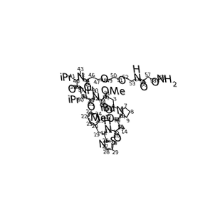 CC[C@H](C)[C@@H]([C@@H](CC(=O)N1CCC[C@H]1[C@H](OC)[C@@H](C)C(=O)NC(Cc1ccccc1)c1nccs1)OC)N(C)C(=O)[C@@H](NC(=O)C(C(C)C)N(C)C(=O)CCOCCOCCNC(=O)CON)C(C)C